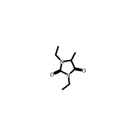 CCN1C(=O)C(C)N(CC)C1=O